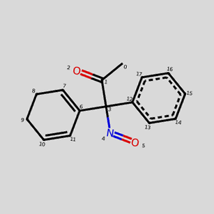 CC(=O)C(N=O)(C1=CCCC=C1)c1ccccc1